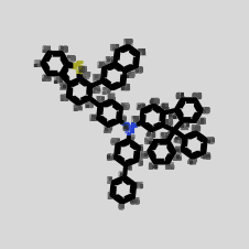 c1ccc(-c2ccc(N(c3ccc(-c4ccc5c(sc6ccccc65)c4-c4ccc5ccccc5c4)cc3)c3ccc4c(c3)C(c3ccccc3)(c3ccccc3)c3ccccc3-4)cc2)cc1